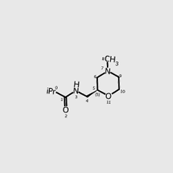 CC(C)C(=O)NC[C@H]1CN(C)CCO1